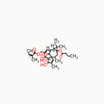 C/C=C(/C)C(=O)OCC1=C[C@@H]2C(=O)C3(C=C(C)[C@H](O)[C@@]3(O)[C@@H]1O)C(C)C[C@]1(OC(=O)CCC)[C@H]2C1(C)C